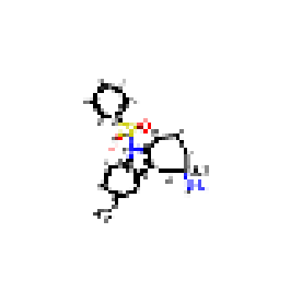 Cc1ccc2c(c1)c1c(n2S(=O)(=O)c2ccccc2)CCCC(C)(N)C1